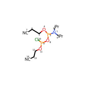 CC(C)N(C(C)C)P(OCCC#N)OP(Cl)OCCC#N